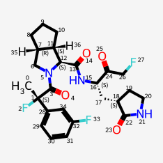 C[C@@](F)(C(=O)N1C[C@@H]2CCC[C@@H]2[C@H]1C(=O)N[C@@H](C[C@@H]1CCNC1=O)C(=O)CF)c1cccc(F)c1